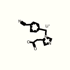 N#Cc1ccc(Cn2cncc2CC(=O)[O-])cc1.[Li+]